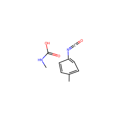 CNC(=O)O.Cc1ccc(N=C=O)cc1